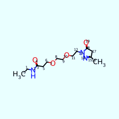 CCNC(=O)CCOCCOCCN1N=C(C)CC1=O